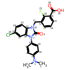 CN(C)c1ccc(-n2c(=O)n(Cc3cccc(C(=O)O)c3F)c3ccc(Cl)cc32)cc1